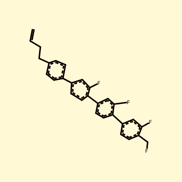 C=CCCc1ccc(-c2ccc(-c3ccc(-c4ccc(CF)c(F)c4)c(F)c3)c(F)c2)cc1